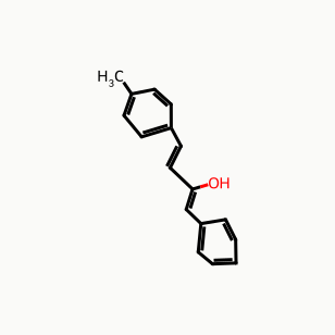 Cc1ccc(C=CC(O)=Cc2ccccc2)cc1